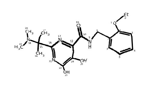 CCOc1ccccc1CNC(=O)c1nc(C(C)(C)N(C)C)nc(O)c1O